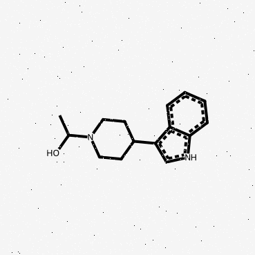 C[C](O)N1CCC(c2c[nH]c3ccccc23)CC1